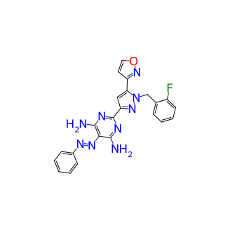 Nc1nc(-c2cc(-c3ccon3)n(Cc3ccccc3F)n2)nc(N)c1/N=N/c1ccccc1